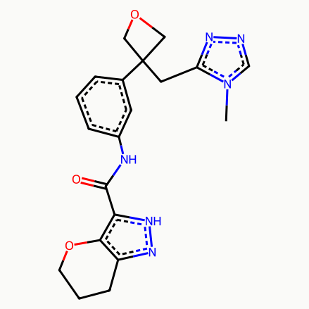 Cn1cnnc1CC1(c2cccc(NC(=O)c3[nH]nc4c3OCCC4)c2)COC1